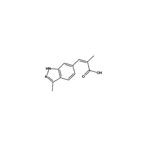 CC(=Cc1ccc2c(C)n[nH]c2c1)C(=O)O